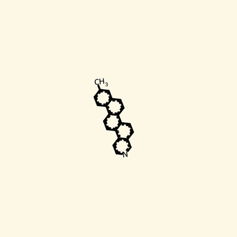 Cc1ccc2c(ccc3c2ccc2c4ccncc4ccc23)c1